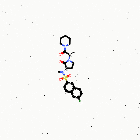 C[C@H](C(=O)N1CCCCC1)N1CC[C@H](N(C)S(=O)(=O)c2ccc3cc(Cl)ccc3c2)C1=O